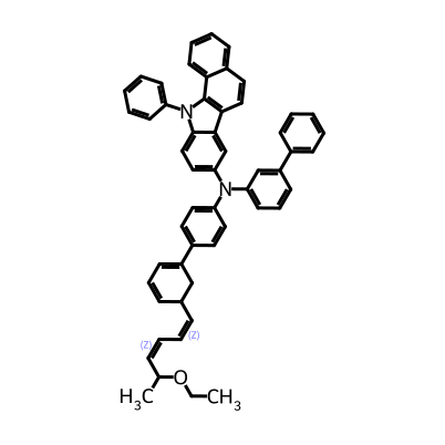 CCOC(C)/C=C\C=C/C1C=CC=C(c2ccc(N(c3cccc(-c4ccccc4)c3)c3ccc4c(c3)c3ccc5ccccc5c3n4-c3ccccc3)cc2)C1